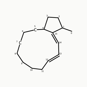 CC1CCC2CCCCCCC/C=C/C=C/12